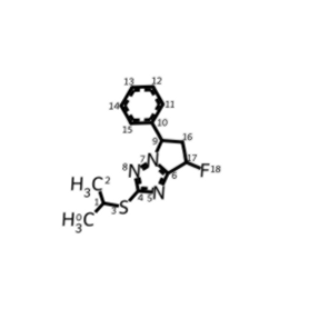 CC(C)Sc1nc2n(n1)C(c1ccccc1)CC2F